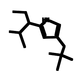 CCC(c1cc(CC(C)(C)C)c[nH]1)C(C)C